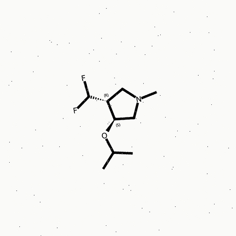 CC(C)O[C@@H]1CN(C)C[C@H]1C(F)F